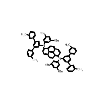 Cc1cccc(-c2cc(-c3cccc(C)c3)cc(N(c3cc(C(C)(C)C)cc(C(C)(C)C)c3)c3ccc4ccc5c(N(c6cc(-c7cccc(C)c7)cc(-c7cccc(C)c7)c6)c6cc(C(C)(C)C)cc(C(C)(C)C)c6)ccc6ccc3c4c65)c2)c1